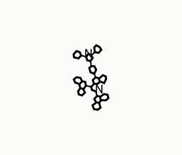 c1ccc(-c2cc(-c3ccc(-c4cc5c(-c6cc7ccccc7c7ccccc67)cc(-c6cc7ccccc7c7ccccc67)nc5c5ccccc45)cc3)cc(-c3ccccc3)n2)cc1